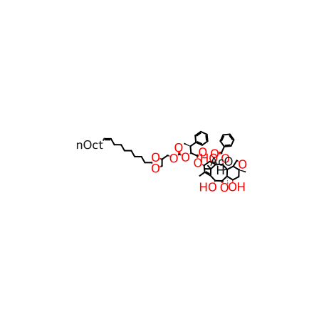 CCCCCCCC/C=C\CCCCCCCC1OCC(COC(=O)O[C@@H](C(=O)O[C@H]2C[C@@]3(O)[C@@H](OC(=O)c4ccccc4)[C@H]4[C@](C)(C(=O)[C@H](O)C(=C2C)C3(C)C)[C@@H](O)C[C@@]2(C)OC[C@@]42OC(C)=O)[C@@H](C)c2ccccc2)O1